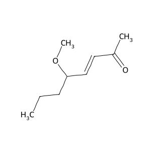 CCCC(C=CC(C)=O)OC